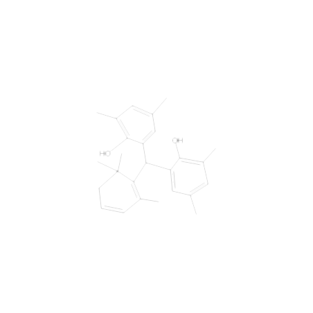 CC1=C(C(c2cc(C)cc(C)c2O)c2cc(C)cc(C)c2O)C(C)(C)CC=C1